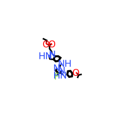 CCOC(=O)CCN1NCc2cc(Nc3ncc(F)c(Nc4ccc(OC(C)C)cc4)n3)ccc21